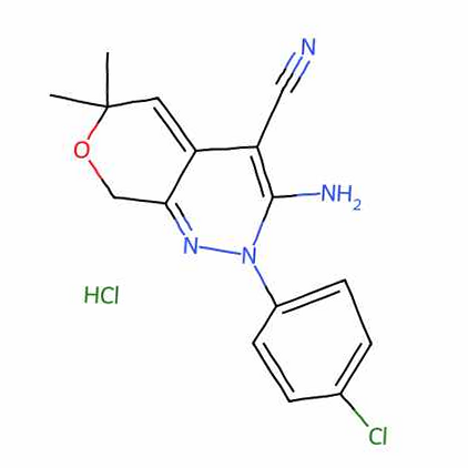 CC1(C)C=C2C(=NN(c3ccc(Cl)cc3)C(N)=C2C#N)CO1.Cl